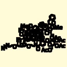 CCC(C)[C@@H]([C@@H](CC(=O)N1CCC[C@H]1[C@H](OC)[C@@H](C)C(=O)NC(Cc1ccccc1)C(=O)OC)OC)N(C)C(=O)[C@@H](NC(=O)[C@H](C(C)C)[N+](C)(C)Cc1ccc(OS(=O)(=O)Oc2cc(C(=O)NCCOCCOCCOCCN=[N+]=[N-])ccc2OC2O[C@H](COC(C)=O)[C@H](OC(C)=O)[C@H](OC(C)=O)[C@H]2OC(C)=O)cc1)C(C)C